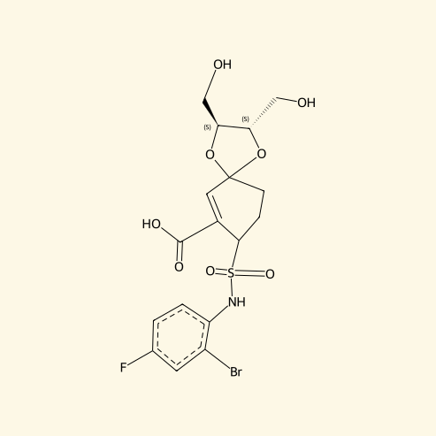 O=C(O)C1=CC2(CCC1S(=O)(=O)Nc1ccc(F)cc1Br)O[C@@H](CO)[C@H](CO)O2